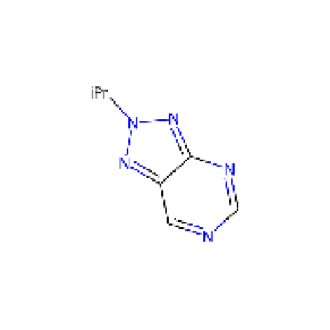 CC(C)n1nc2cncnc2n1